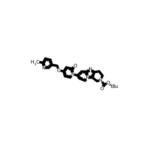 Cc1ccc(COc2ccn(-c3ccn4c5c(nc4c3)CCN(C(=O)OC(C)(C)C)C5)c(=O)c2)cn1